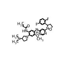 C=CC(=O)Nc1cc(Nc2cc(N3OCCC3c3cc(F)ccc3F)ncn2)c(OC)cc1N1CCC(N(C)C)C1